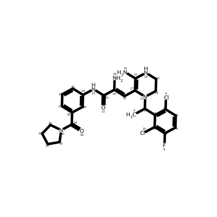 CC(c1c(Cl)ccc(F)c1Cl)N1CCNC(N)=C1/C=C(\N)C(=O)Nc1cccc(C(=O)N2CCCC2)c1